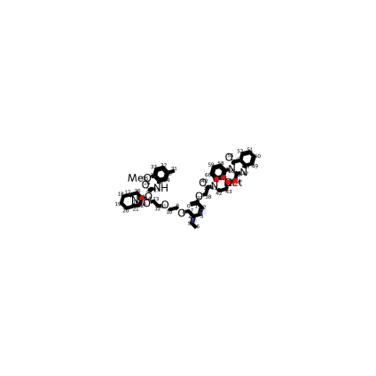 C=C(/C=C\C(=C/C)COCCOCCOCN1C2CCCC1CC(OC(=O)Nc1cc(C)ccc1OC)C2)OCC(=O)N1CCN(CC2N=C3C=CC=CC3C(=O)N2c2ccccc2OCC)CC1